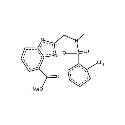 COC(=O)c1cccc2nc(CN(C)S(=O)(=O)c3ccccc3C(F)(F)F)[nH]c12